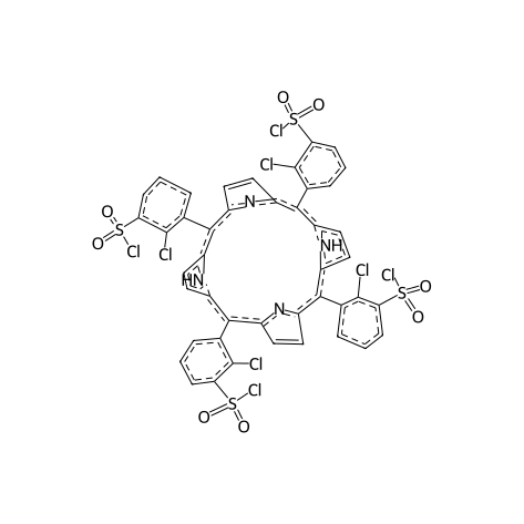 O=S(=O)(Cl)c1cccc(-c2c3nc(c(-c4cccc(S(=O)(=O)Cl)c4Cl)c4ccc([nH]4)c(-c4cccc(S(=O)(=O)Cl)c4Cl)c4nc(c(-c5cccc(S(=O)(=O)Cl)c5Cl)c5ccc2[nH]5)C=C4)C=C3)c1Cl